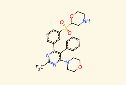 O=S(=O)(c1cccc(-c2nc(C(F)(F)F)nc(N3CCOCC3)c2-c2ccccc2)c1)C1CNCCO1